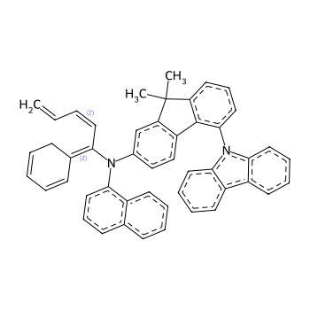 C=C/C=C\C(=C1\C=CC=CC1)N(c1ccc2c(c1)C(C)(C)c1cccc(-n3c4ccccc4c4ccccc43)c1-2)c1cccc2ccccc12